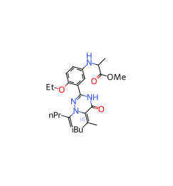 C=C(CCC)N1N=C(c2cc(NC(C)C(=O)OC)ccc2OCC)NC(=O)/C1=C(\C)C(C)CC